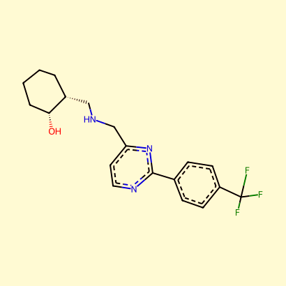 O[C@@H]1CCCC[C@@H]1CNCc1ccnc(-c2ccc(C(F)(F)F)cc2)n1